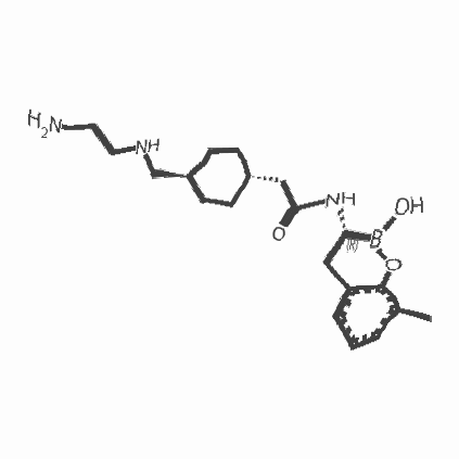 Cc1cccc2c1OB(O)[C@@H](NC(=O)C[C@H]1CC[C@H](CNCCN)CC1)C2